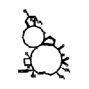 C#C[C@@]1(O)/C=C/C[C@H](C)[C@@H](C)S(=O)(=O)NC(=O)c2ccc3c(c2)N(CCCC/C(=C/C(Cl)=C\C)C(=C)CO3)C[C@@H]2CC[C@H]21